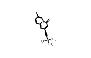 C[Si](C)(C)C#Cc1cc(=O)n2cc(F)ccc2n1